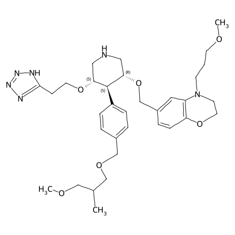 COCCCN1CCOc2ccc(CO[C@H]3CNC[C@@H](OCCc4nnn[nH]4)[C@@H]3c3ccc(COCC(C)COC)cc3)cc21